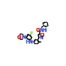 Cc1ccc(Nc2cc(F)cc(N3CCOCC3)c2)cc1-c1cc(C(=O)NCc2ccccc2)on1